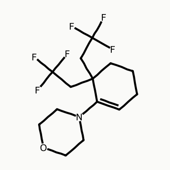 FC(F)(F)CC1(CC(F)(F)F)CCCC=C1N1CCOCC1